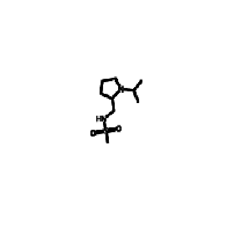 CC(C)N1CCCC1CNS(C)(=O)=O